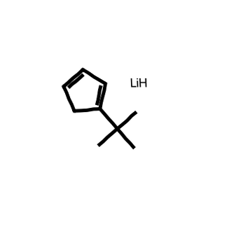 CC(C)(C)C1=CC=CC1.[LiH]